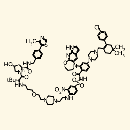 Cc1ncsc1-c1ccc(CNC(=O)[C@@H]2C[C@@H](O)CN2C(=O)[C@@H](NCCCOCCN2CCN(CCNc3ccc(S(=O)(=O)NC(=O)c4ccc(N5CCN(CC6=C(c7ccc(Cl)cc7)CC(C)(C)CC6)CC5)cc4N4CCCOc5nc6[nH]ccc6cc54)cc3[N+](=O)[O-])CC2)C(C)(C)C)cc1